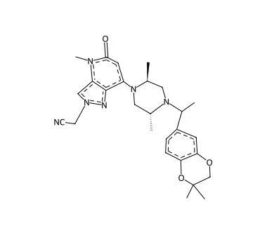 CC(c1ccc2c(c1)OCC(C)(C)O2)N1C[C@H](C)N(c2cc(=O)n(C)c3cn(CC#N)nc23)C[C@H]1C